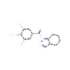 O=C(c1cc(Cl)c(O)c(Cl)c1)n1ncc2ccccc21